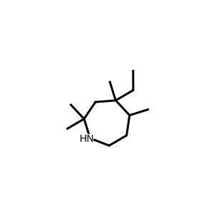 CCC1(C)CC(C)(C)NCCC1C